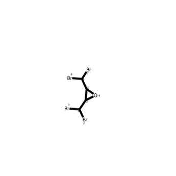 BrC(Br)C1OC1C(Br)Br